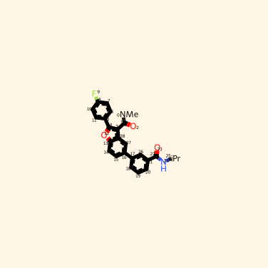 CNC(=O)c1c(-c2ccc(F)cc2)oc2ccc(-c3cccc(C(=O)NC(C)C)c3)cc12